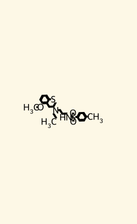 CCCN(CCCNS(=O)(=O)c1ccc(C)cc1)C1CSc2cccc(OC)c2C1